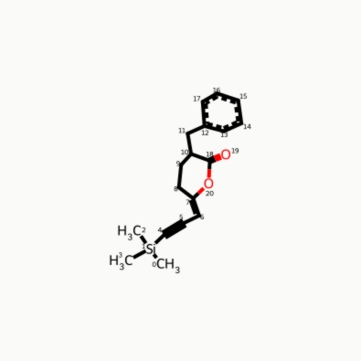 C[Si](C)(C)C#CC=C1CCC(Cc2ccccc2)C(=O)O1